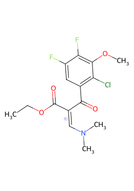 CCOC(=O)/C(=C/N(C)C)C(=O)c1cc(F)c(F)c(OC)c1Cl